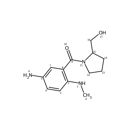 CNc1ccc(N)cc1C(=O)N1CCCC1CO